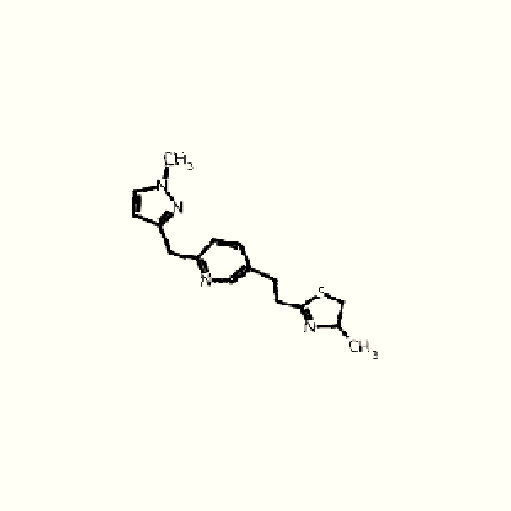 CC1CSC(CCc2ccc(Cc3ccn(C)n3)nc2)=N1